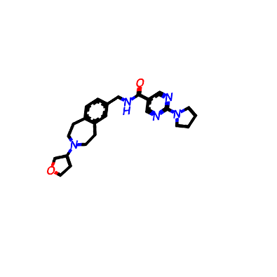 O=C(NCc1ccc2c(c1)CCN(C1CCOC1)CC2)c1cnc(N2CCCC2)nc1